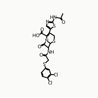 CC(=O)Nc1ncc(C2=C(C(=O)O)N3C(=O)C(NC(=O)CSc4ccc(Cl)c(Cl)c4)C3SC2)s1